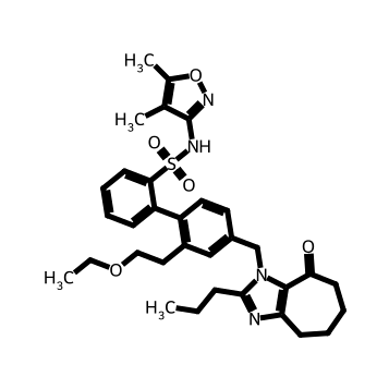 CCCc1nc2c(n1Cc1ccc(-c3ccccc3S(=O)(=O)Nc3noc(C)c3C)c(CCOCC)c1)C(=O)CCCC2